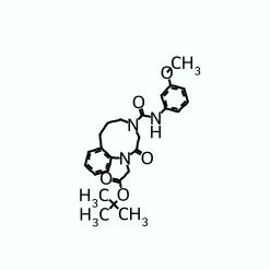 COc1cccc(NC(=O)N2CCCc3ccccc3N(CC(=O)OC(C)(C)C)C(=O)C2)c1